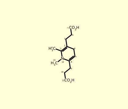 CC1=C(CCC(=O)O)CC=C(CCC(=O)O)N1C